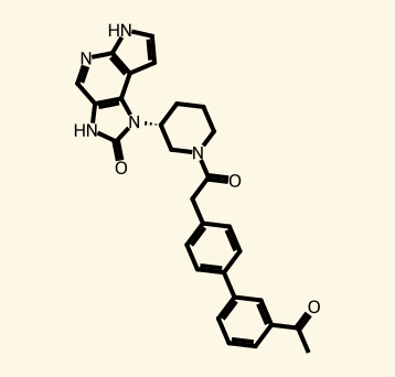 CC(=O)c1cccc(-c2ccc(CC(=O)N3CCC[C@@H](n4c(=O)[nH]c5cnc6[nH]ccc6c54)C3)cc2)c1